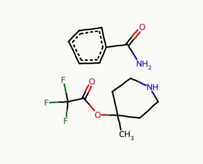 CC1(OC(=O)C(F)(F)F)CCNCC1.NC(=O)c1ccccc1